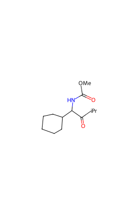 COC(=O)NC(C(=O)C(C)C)C1CCCCC1